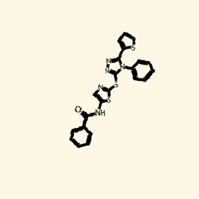 O=C(Nc1cnc(Sc2nnc(-c3cccs3)n2-c2ccccc2)s1)c1ccccc1